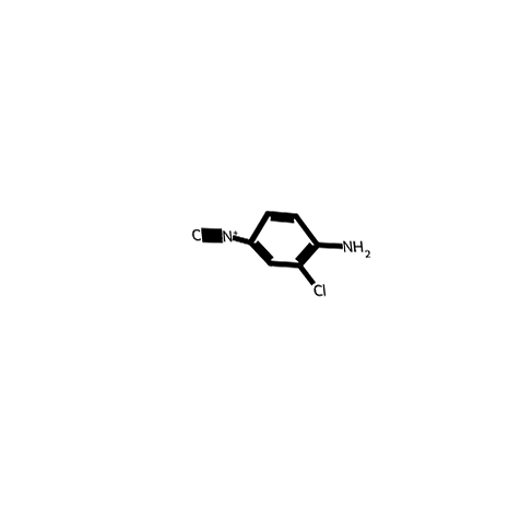 [C-]#[N+]c1ccc(N)c(Cl)c1